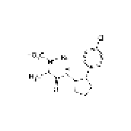 CC(C(=O)NC1CCCC1c1ccc(Cl)cc1)N(C(=O)O)C(C)(C)C